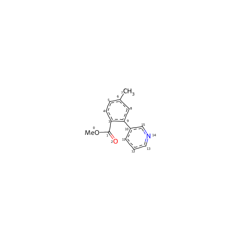 COC(=O)c1ccc(C)cc1-c1cccnc1